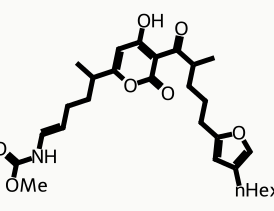 CCCCCCc1coc(CCCC(C)C(=O)c2c(O)cc(C(C)CC/C=C/NC(=O)OC)oc2=O)c1